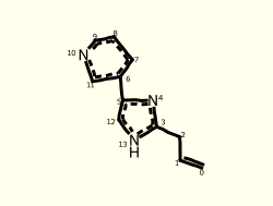 C=CCc1nc(-c2cccnc2)c[nH]1